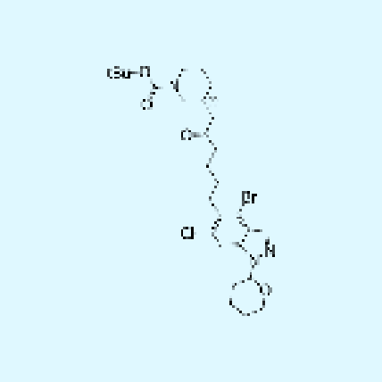 CC(C)(C)OC(=O)N1CCC[C@H](CC(=O)CCCCc2c(Cl)cc3c(cnn3C3CCCCO3)c2Br)C1